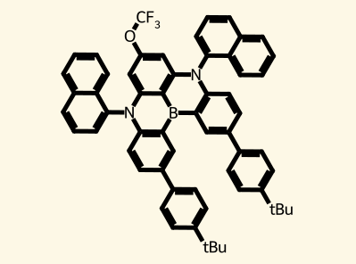 CC(C)(C)c1ccc(-c2ccc3c(c2)B2c4cc(-c5ccc(C(C)(C)C)cc5)ccc4N(c4cccc5ccccc45)c4cc(OC(F)(F)F)cc(c42)N3c2cccc3ccccc23)cc1